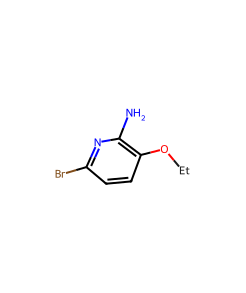 CCOc1ccc(Br)nc1N